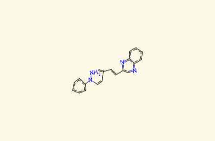 C=C(C=Cc1cnc2ccccc2n1)/C=C\N(N)c1ccccc1